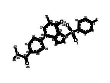 Cc1ccc(S(=O)(=O)n2ccc3c2c(=O)c(C)cn3-c2ccc(C(=O)N(C)C)cc2)cc1